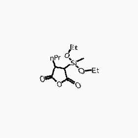 CCCC1C(=O)OC(=O)C1[Si](C)(OCC)OCC